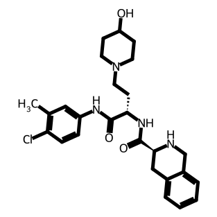 Cc1cc(NC(=O)[C@H](CCN2CCC(O)CC2)NC(=O)[C@@H]2Cc3ccccc3CN2)ccc1Cl